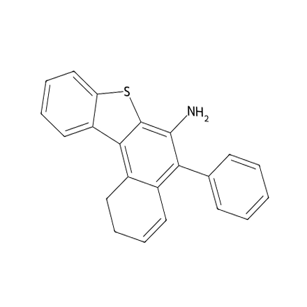 Nc1c(-c2ccccc2)c2c(c3c1sc1ccccc13)CCC=C2